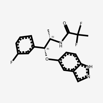 C[C@H](NC(=O)C(C)(F)F)[C@H](Oc1ccc2[nH]ncc2c1)c1cccc(F)c1